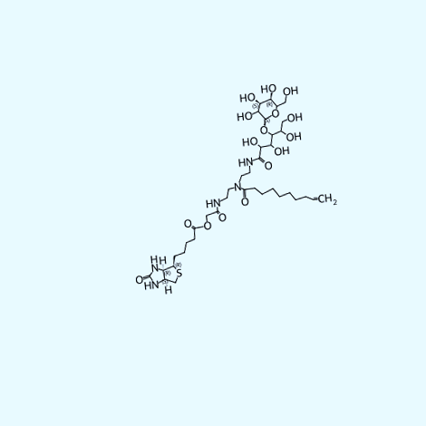 C=CCCCCCCCC(=O)N(CCNC(=O)COC(=O)CCCC[C@H]1SC[C@H]2NC(=O)N[C@H]21)CCNC(=O)C(O)C(O)C(O[C@@H]1OC(CO)[C@H](O)[C@H](O)C1O)C(O)CO